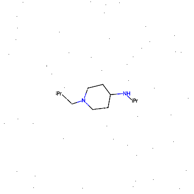 CC(C)CN1CCC(NC(C)C)CC1